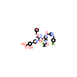 C[C@@H](OCC12CCC(CC1)OC2)[C@H](NC(=O)[C@@H]1CN(C(=O)c2cnn(Cc3ccc(C(F)(F)F)cc3)c2)CC12CN(C(=O)C1(C(F)(F)F)CC1)C2)C(=O)N1CCC(c2ccc(C(=O)O)c(O)c2)CC1